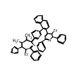 CCC1C(c2ccc3ccccc3c2-c2ccc(C3N=C(c4ccccc4)C(CC)C(c4ccccc4)C(C)C3C)cc2)=CC(c2ccccc2)=NC1c1ccccc1